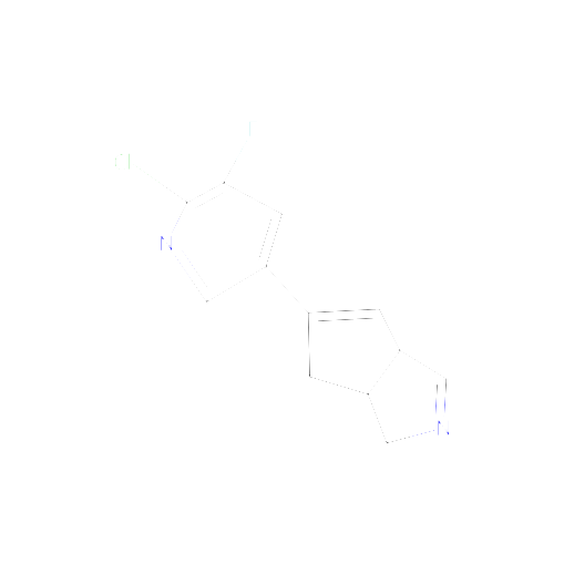 Fc1cc(C2=CC3C=NCC3C2)cnc1Cl